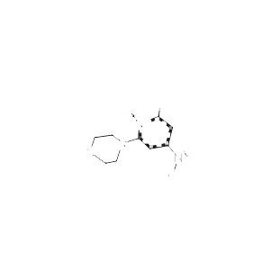 Cc1cc([N+](=O)[O-])cc(N2CCSCC2)[n+]1[O-]